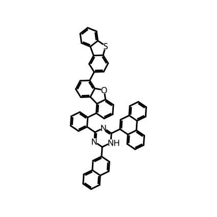 c1ccc(-c2cccc3oc4c(-c5ccc6sc7ccccc7c6c5)cccc4c23)c(C2=NC(c3ccc4ccccc4c3)NC(c3cc4ccccc4c4ccccc34)=N2)c1